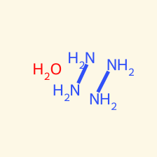 NN.NN.O